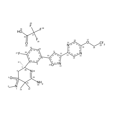 CN=S1(=O)C[C@@](C)(c2cc(-c3cc(-c4cnc(OCC(F)(F)F)cn4)no3)ccc2F)N=C(N)C1(C)C.O=C(O)C(F)(F)F